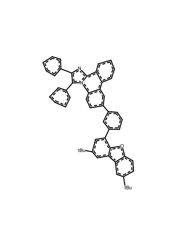 CC(C)(C)c1ccc2oc3c(-c4cccc(-c5ccc6c(c5)c5ccccc5c5nc(-c7ccccc7)c(-c7ccccc7)n65)c4)cc(C(C)(C)C)cc3c2c1